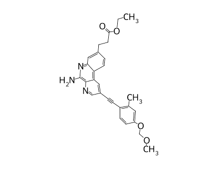 CCOC(=O)CCc1ccc2c(c1)nc(N)c1ncc(C#Cc3ccc(OCOC)cc3C)cc12